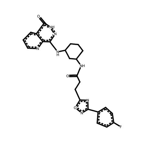 O=C(CCc1nc(-c2ccc(F)cc2)no1)NC1CCCC(Nc2n[nH]c(=O)c3cccnc23)C1